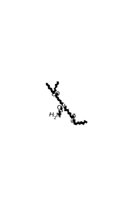 CCCCCC/C=C\COC(=O)CCCCCCN(CCCCCCC(=O)OC(CCCCCC)CCCCCC)C(=O)SCCN